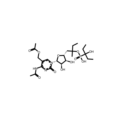 CCC(C)(C[C@H]1O[C@@H](n2cc(COC(C)=O)c(NC(C)=O)nc2=O)[C@H](O)[C@@H]1O)OP(=O)(O)C(O)(CC)CC